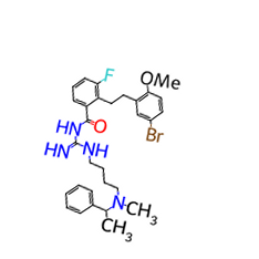 COc1ccc(Br)cc1CCc1c(F)cccc1C(=O)NC(=N)NCCCCN(C)C(C)c1ccccc1